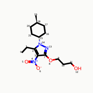 CCc1c([N+](=O)[O-])c(OCCCO)nn1[C@H]1CC[C@H](C)CC1